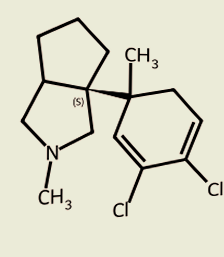 CN1CC2CCC[C@]2(C2(C)C=C(Cl)C(Cl)=CC2)C1